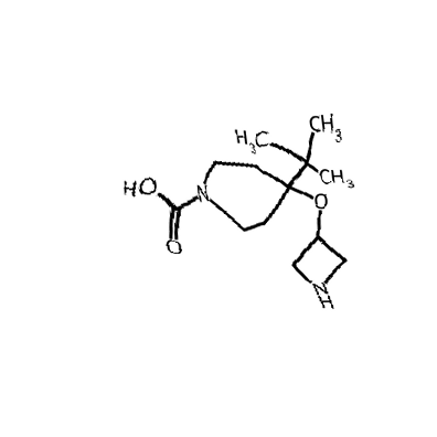 CC(C)(C)C1(OC2CNC2)CCN(C(=O)O)CC1